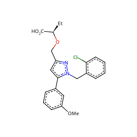 CC[C@@H](OCc1cc(-c2cccc(OC)c2)n(Cc2ccccc2Cl)n1)C(=O)O